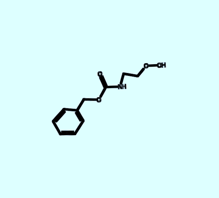 O=C(NCCOO)OCc1ccccc1